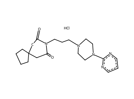 Cl.O=C1CC2(CCCC2)CC(=O)N1CCCN1CCN(c2ncccn2)CC1